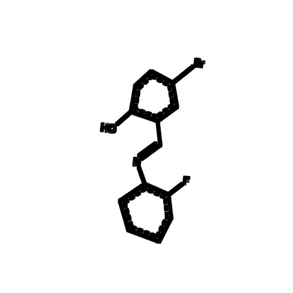 Oc1ccc(Br)cc1/C=N/c1ccccc1F